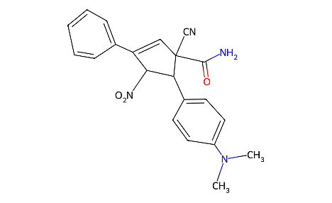 CN(C)c1ccc(C2C([N+](=O)[O-])C(c3ccccc3)=CC2(C#N)C(N)=O)cc1